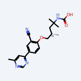 Cc1cc(-c2ccc(OC[C@@H](C)CC(C)(C)NC(=O)O)c(C#N)c2)ncn1